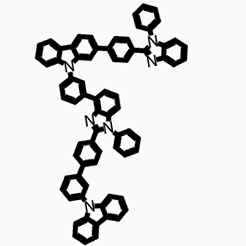 c1ccc(-n2c(-c3ccc(-c4ccc5c6ccccc6n(-c6cccc(-c7cccc8c7nc(-c7ccc(-c9cccc(-n%10c%11ccccc%11c%11ccccc%11%10)c9)cc7)n8-c7ccccc7)c6)c5c4)cc3)nc3ccccc32)cc1